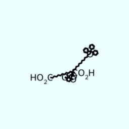 O=C(O)CCCCCCCCCCC(CCCCCCCCCCCOC(c1ccccc1)(c1ccccc1)c1ccccc1)(C(=O)O)C(=O)ON1C(=O)CCC1=O